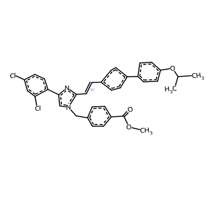 COC(=O)c1ccc(Cn2cc(-c3ccc(Cl)cc3Cl)nc2/C=C/c2ccc(-c3ccc(OC(C)C)cc3)cc2)cc1